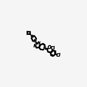 O=C(Cc1ccc(Cl)cc1Cl)N1CCc2cnc(N3CCN(C4CCC4)CC3)nc2CC1